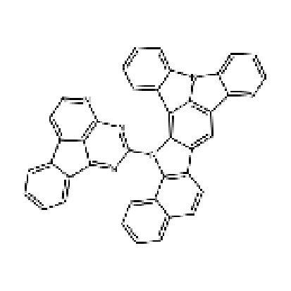 c1ccc2c(c1)-c1ccnc3nc(-n4c5c6ccccc6ccc5c5cc6c7ccccc7n7c8ccccc8c(c54)c67)nc-2c13